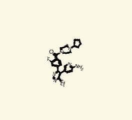 CCc1ncnc(-c2ccc(C(=O)N3CCN(C4CCCC4)CC3)c(F)c2)c1-c1ccc(N)nc1